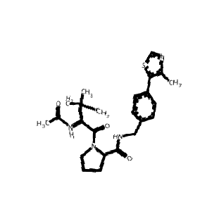 CC(=O)NC(C(=O)N1CCCC1C(=O)NCc1ccc(-c2scnc2C)cc1)C(C)(C)C